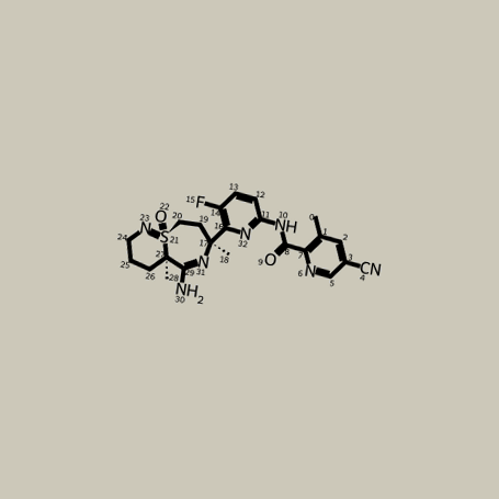 Cc1cc(C#N)cnc1C(=O)Nc1ccc(F)c([C@]2(C)CC[S@]3(=O)=NCCC[C@]3(C)C(N)=N2)n1